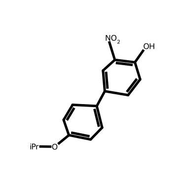 CC(C)Oc1ccc(-c2ccc(O)c([N+](=O)[O-])c2)cc1